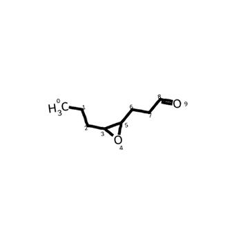 CCCC1OC1CCC=O